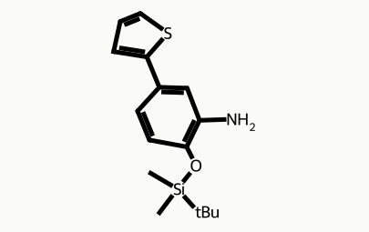 CC(C)(C)[Si](C)(C)Oc1ccc(-c2cccs2)cc1N